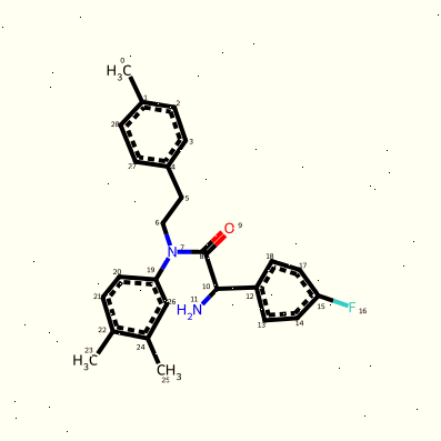 Cc1ccc(CCN(C(=O)C(N)c2ccc(F)cc2)c2ccc(C)c(C)c2)cc1